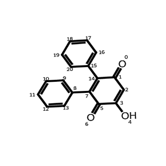 O=C1C=C(O)C(=O)C(c2ccccc2)=C1c1ccccc1